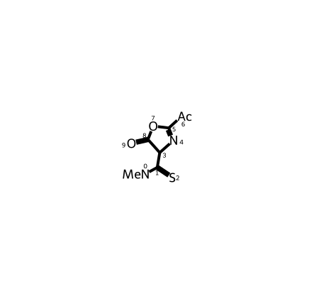 CNC(=S)C1N=C(C(C)=O)OC1=O